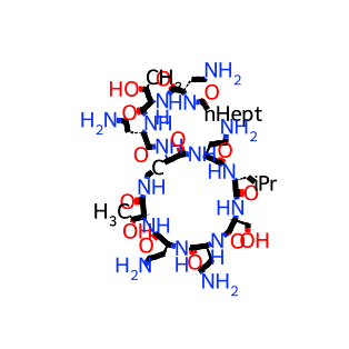 CCCCCCCC(=O)N[C@@H](CCN)C(=O)N[C@H](C(=O)N[C@@H](CCN)C(=O)N[C@H]1CCNC(=O)[C@H]([C@@H](C)O)NC(=O)[C@H](CCN)NC(=O)[C@H](CCN)NC(=O)[C@H](CO)NC(=O)[C@@H](CC(C)C)NC(=O)[C@H](CCN)NC1=O)[C@@H](C)O